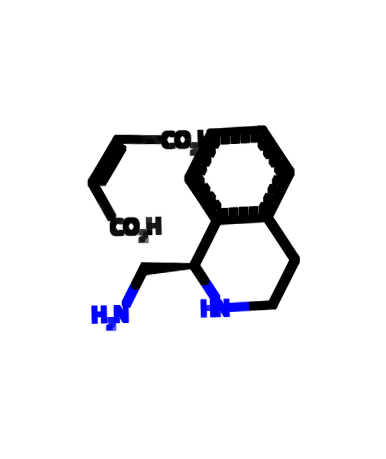 NC[C@@H]1NCCc2ccccc21.O=C(O)/C=C\C(=O)O